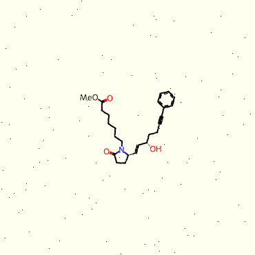 COC(=O)CCCCCCN1C(=O)CC[C@@H]1/C=C/[C@@H](O)CCC#Cc1ccccc1